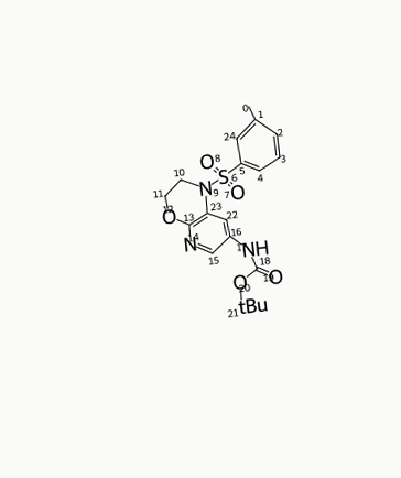 Cc1cccc(S(=O)(=O)N2CCOc3ncc(NC(=O)OC(C)(C)C)cc32)c1